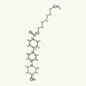 CCCCCCCCOC(=O)c1ccc(-c2ccc(C3CCC(O)CC3)cc2)cc1